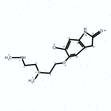 CNCCN(C)CCOc1cc2c(cc1Cl)NC(=O)C2